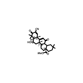 COC(=O)[C@]12CCC(C)(C)CC1C1C(=O)C=C3[C@@]4(C)C=C(C#N)C(=O)C(C)(C)[C@@H]4[C@H](O)C[C@@]3(C)[C@]1(C)CC2